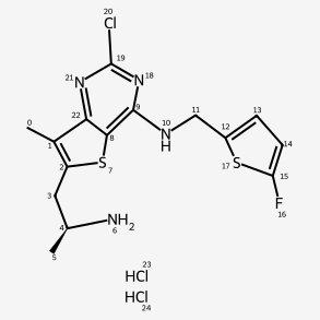 Cc1c(C[C@H](C)N)sc2c(NCc3ccc(F)s3)nc(Cl)nc12.Cl.Cl